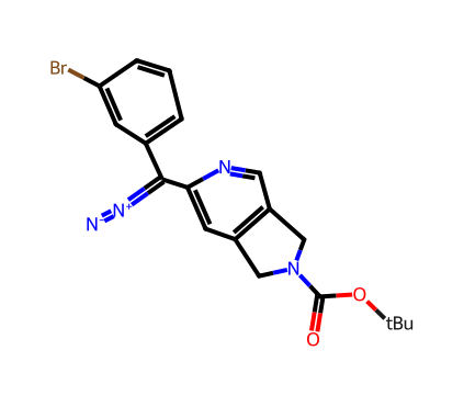 CC(C)(C)OC(=O)N1Cc2cnc(C(=[N+]=[N-])c3cccc(Br)c3)cc2C1